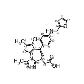 Cc1sc2c(c1C)C(c1ccc(NCc3ccco3)cc1)=N[C@@H](CC(=O)O)c1nnc(C)n1-2